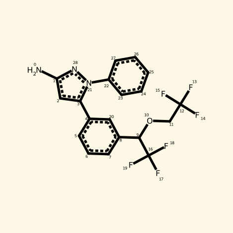 Nc1cc(-c2cccc(C(OCC(F)(F)F)C(F)(F)F)c2)n(-c2ccccc2)n1